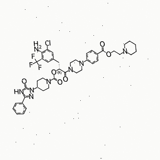 Nc1c(Cl)cc(C[C@@H](OC(=O)N2CCC(n3nc(-c4ccccc4)[nH]c3=O)CC2)C(=O)N2CCN(c3ccc(C(=O)OCCN4CCCCC4)cc3)CC2)cc1C(F)(F)F